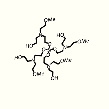 COCCN(CCO)CCO[Si](OCCN(CCO)CCOC)(OCCN(CCO)CCOC)OCCN(CCO)CCOC